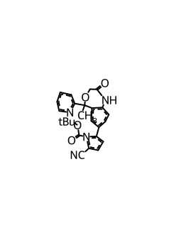 CC(C)(C)OC(=O)n1c(C#N)ccc1-c1ccc2c(c1)C(C)(c1ccccn1)OCC(=O)N2